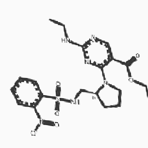 CCNc1ncc(C(=O)OCC)c(N2CCC[C@H]2CNS(=O)(=O)c2ccccc2[N+](=O)[O-])n1